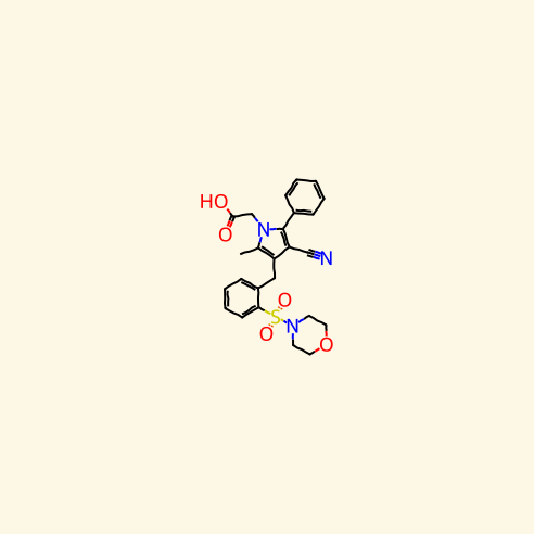 Cc1c(Cc2ccccc2S(=O)(=O)N2CCOCC2)c(C#N)c(-c2ccccc2)n1CC(=O)O